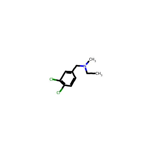 CCN(C)Cc1ccc(Cl)c(Cl)c1